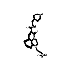 CN1CCC(CNC(=O)c2cc3cccc4c3n(c2=O)CCN4CCS(C)(=O)=O)CC1